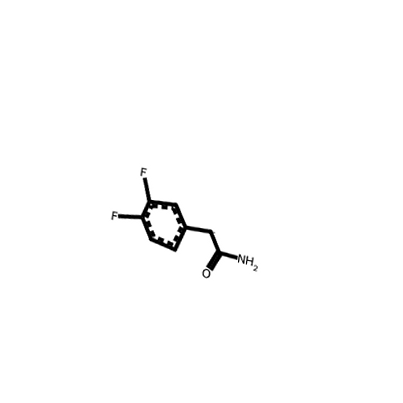 NC(=O)[CH]c1ccc(F)c(F)c1